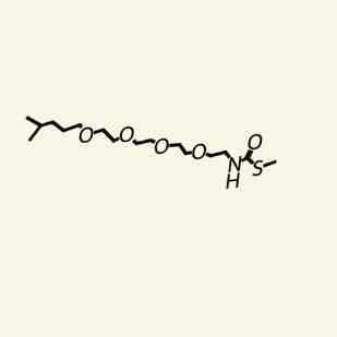 CSC(=O)NCCOCCOCCOCCOCCCC(C)C